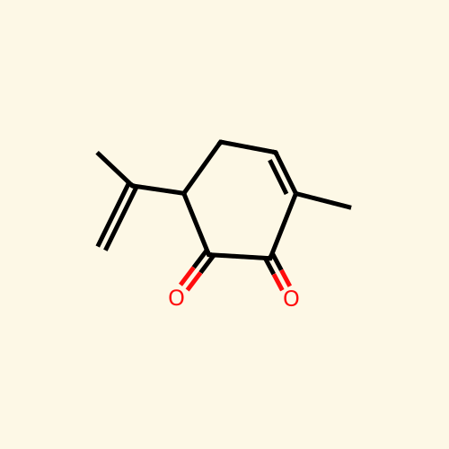 C=C(C)C1CC=C(C)C(=O)C1=O